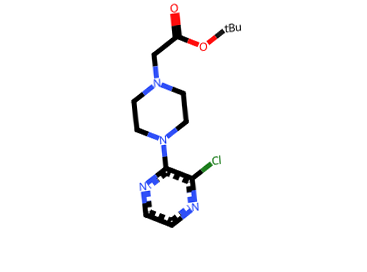 CC(C)(C)OC(=O)CN1CCN(c2nccnc2Cl)CC1